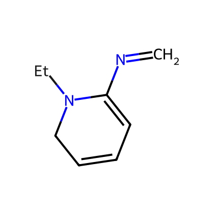 C=NC1=CC=CCN1CC